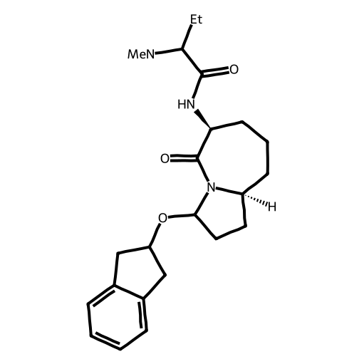 CCC(NC)C(=O)N[C@H]1CCC[C@H]2CCC(OC3Cc4ccccc4C3)N2C1=O